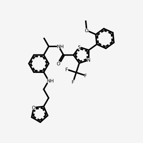 COc1ccccc1-c1nc(C(F)(F)F)c(C(=O)NC(C)c2cccc(NCCc3ccco3)c2)s1